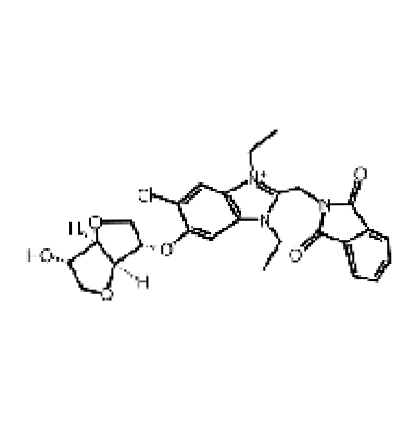 CCn1c(CN2C(=O)c3ccccc3C2=O)[n+](CC)c2cc(Cl)c(O[C@H]3CO[C@H]4[C@@H]3OC[C@@H]4O)cc21